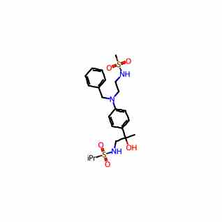 CC(C)S(=O)(=O)NCC(C)(O)c1ccc(N(CCNS(C)(=O)=O)Cc2ccccc2)cc1